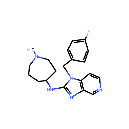 CN1CCCC(Nc2nc3cnccc3n2Cc2ccc(F)cc2)CC1